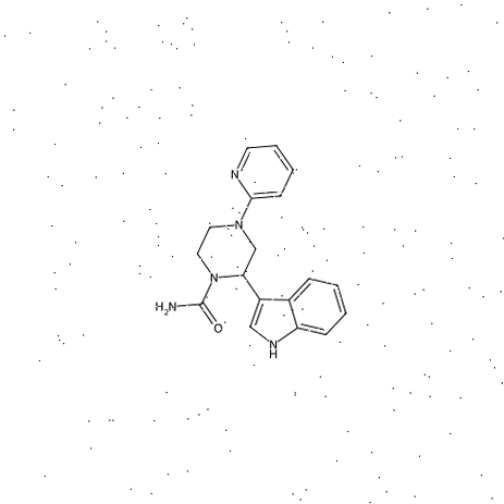 NC(=O)N1CCN(c2ccccn2)CC1c1c[nH]c2ccccc12